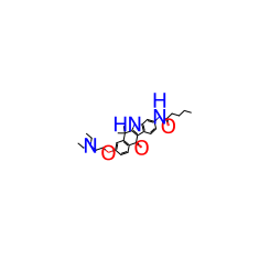 CCCCC(=O)Nc1ccc2c3c([nH]c2c1)C(C)(C)c1cc(OCCN(CC)CC)ccc1C3=O